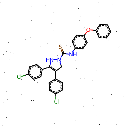 S=C(Nc1ccc(Oc2ccccc2)cc1)N1CC(c2ccc(Cl)cc2)=C(c2ccc(Cl)cc2)N1